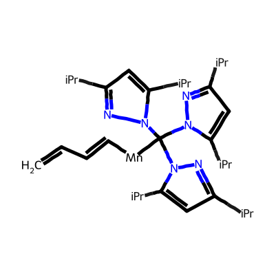 C=CC=[CH][Mn][C](n1nc(C(C)C)cc1C(C)C)(n1nc(C(C)C)cc1C(C)C)n1nc(C(C)C)cc1C(C)C